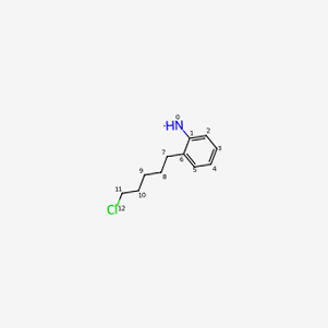 [NH]c1ccccc1CCCCCCl